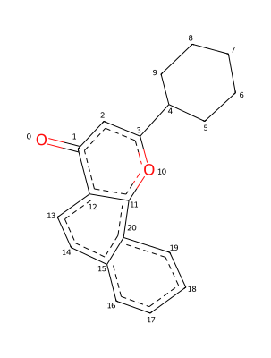 O=c1cc(C2CCCCC2)oc2c1ccc1ccccc12